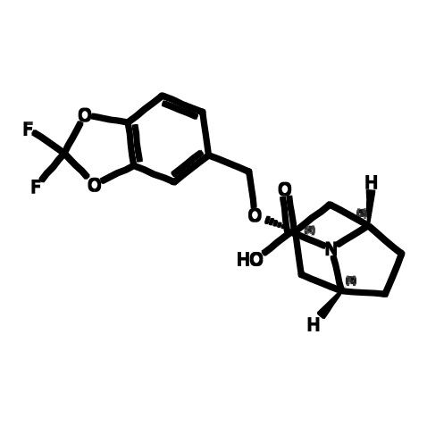 O=C(O)N1[C@@H]2CC[C@H]1C[C@@H](OCc1ccc3c(c1)OC(F)(F)O3)C2